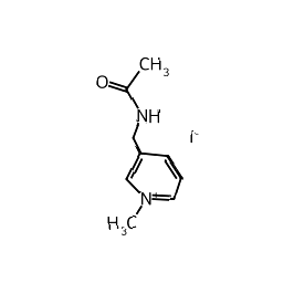 CC(=O)NCc1ccc[n+](C)c1.[I-]